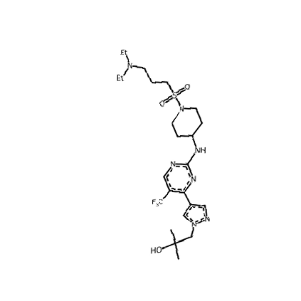 CCN(CC)CCCS(=O)(=O)N1CCC(Nc2ncc(C(F)(F)F)c(-c3cnn(CC(C)(C)O)c3)n2)CC1